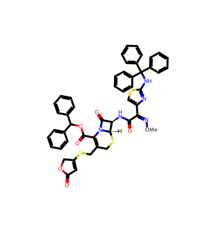 CO/N=C(\C(=O)N[C@@H]1C(=O)N2C(C(=O)OC(c3ccccc3)c3ccccc3)=C(CSC3=CC(=O)OC3)CS[C@H]12)c1csc(NC(c2ccccc2)(c2ccccc2)c2ccccc2)n1